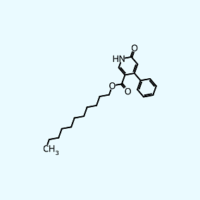 CCCCCCCCCCCOC(=O)c1c[nH]c(=O)cc1-c1ccccc1